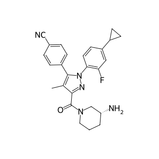 Cc1c(C(=O)N2CCC[C@@H](N)C2)nn(-c2ccc(C3CC3)cc2F)c1-c1ccc(C#N)cc1